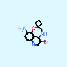 Nc1ccc2ncc(Br)c3c2c1OC1(CCC1)CN3